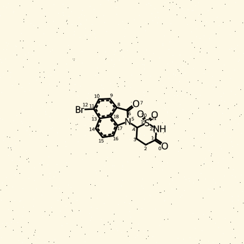 O=C1CCC(N2C(=O)c3ccc(Br)c4cccc2c34)S(=O)(=O)N1